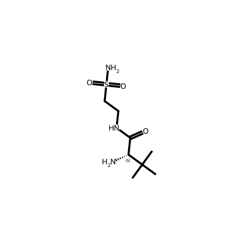 CC(C)(C)[C@H](N)C(=O)NCCS(N)(=O)=O